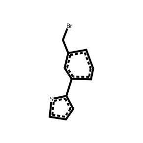 BrCc1cccc(-c2cccs2)c1